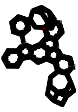 c1ccc(-n2c3ccccc3c3cc4c5c6c(ncc5n5c7cnc8c(c7c(c32)c45)C2CC3CC(CC8C3)C2)C2CC3CC4CC6CC34C2)cc1